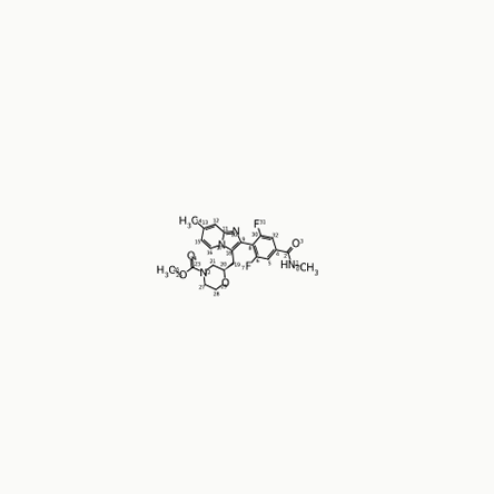 CNC(=O)c1cc(F)c(-c2nc3cc(C)ccn3c2C[C@@H]2CN(C(=O)OC)CCO2)c(F)c1